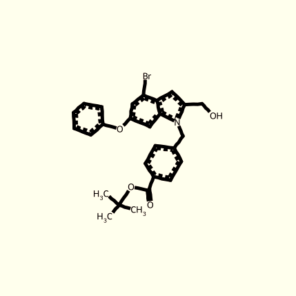 CC(C)(C)OC(=O)c1ccc(Cn2c(CO)cc3c(Br)cc(Oc4ccccc4)cc32)cc1